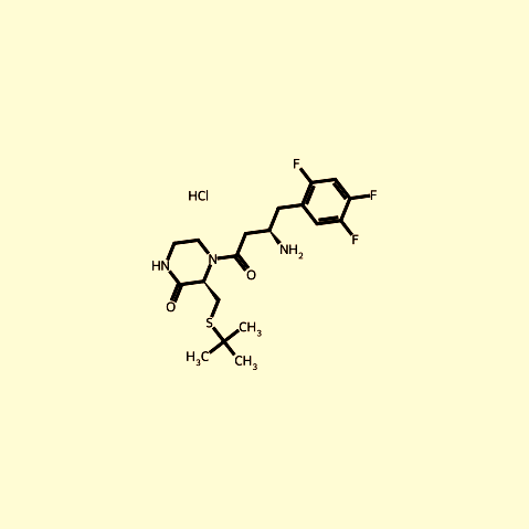 CC(C)(C)SC[C@H]1C(=O)NCCN1C(=O)C[C@H](N)Cc1cc(F)c(F)cc1F.Cl